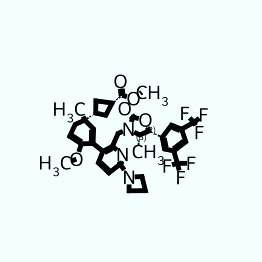 COC1=CCC(C)([C@H]2C[C@@H](C(=O)OC)C2)C=C1c1ccc(N2CCC2)nc1CN1C(=O)O[C@H](c2cc(C(F)(F)F)cc(C(F)(F)F)c2)[C@@H]1C